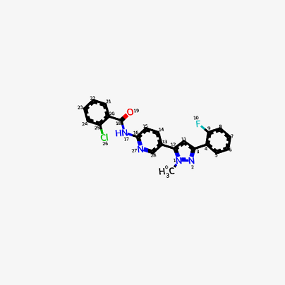 Cn1nc(-c2ccccc2F)cc1-c1ccc(NC(=O)c2ccccc2Cl)nc1